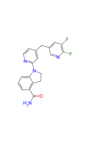 NC(=O)c1cccc2c1CCN2c1cc(Cc2cnc(F)c(F)c2)ccn1